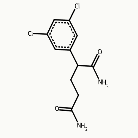 NC(=O)CCC(C(N)=O)c1cc(Cl)cc(Cl)c1